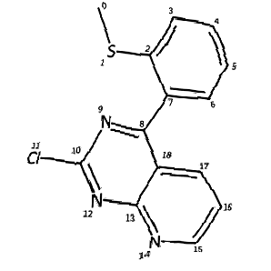 CSc1ccccc1-c1nc(Cl)nc2ncccc12